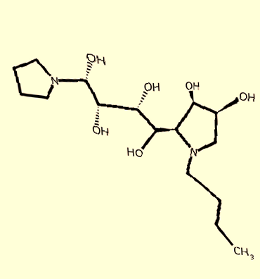 CCCCN1C[C@H](O)[C@H](O)[C@@H]1C(O)[C@@H](O)[C@H](O)[C@@H](O)N1CCCC1